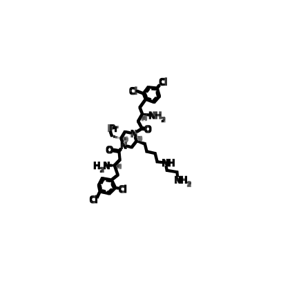 CC(C)C[C@@H]1CN(C(=O)C[C@H](N)Cc2ccc(Cl)cc2Cl)[C@@H](CCCCNCCN)CN1C(=O)C[C@H](N)Cc1ccc(Cl)cc1Cl